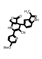 COc1ccc(C2=C(C#N)C(c3ccc4[nH]nc(C)c4c3)C3=C(COC3=O)N2)nc1